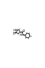 O=C1CN(C(=O)NC2CCCCC2)CN1